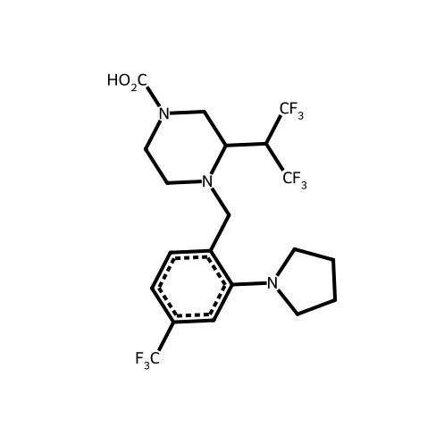 O=C(O)N1CCN(Cc2ccc(C(F)(F)F)cc2N2CCCC2)C(C(C(F)(F)F)C(F)(F)F)C1